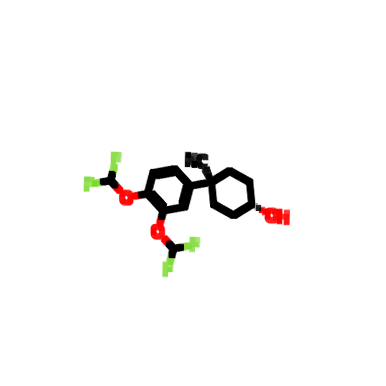 N#C[C@]1(c2ccc(OC(F)F)c(OC(F)F)c2)CC[C@@H](O)CC1